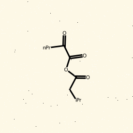 CCCC(=O)C(=O)OC(=O)CC(C)C